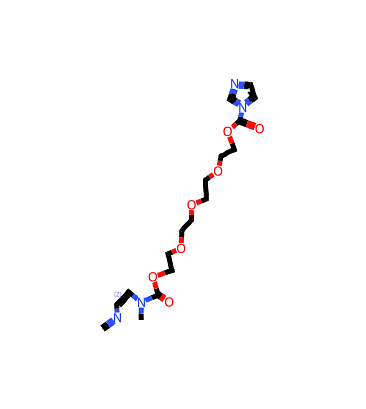 C=N/C=C\N(C)C(=O)OCCOCCOCCOCCOC(=O)n1ccnc1